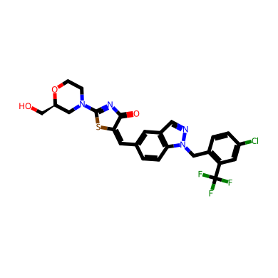 O=C1N=C(N2CCO[C@H](CO)C2)SC1=Cc1ccc2c(cnn2Cc2ccc(Cl)cc2C(F)(F)F)c1